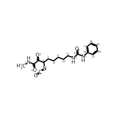 CNC(=O)C(=O)C(CCCCCNC(=O)Nc1ccccc1)N=C=O